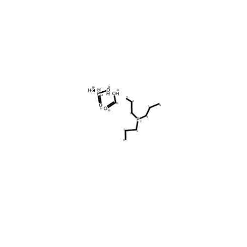 CCCP(CCC)CCC.O=CO.O=[PH](O)O